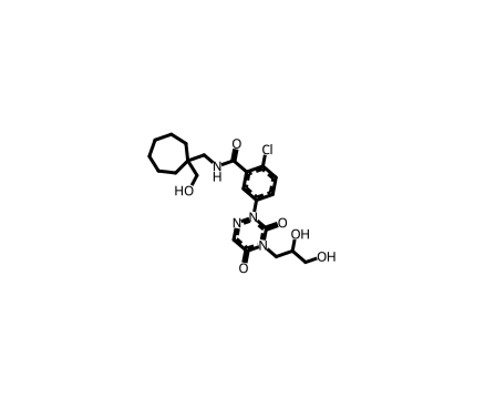 O=C(NCC1(CO)CCCCCC1)c1cc(-n2ncc(=O)n(CC(O)CO)c2=O)ccc1Cl